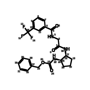 O=C(CNC(=O)c1cccc(C(F)(F)F)c1)N[C@H]1CCC[C@H]1NC(=O)OCc1ccccc1